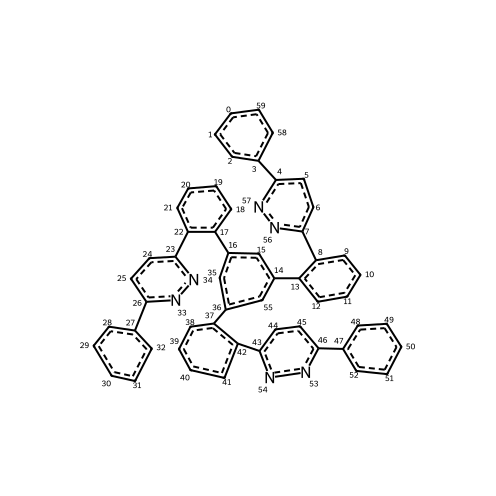 c1ccc(-c2ccc(-c3ccccc3-c3cc(-c4ccccc4-c4ccc(-c5ccccc5)nn4)cc(-c4ccccc4-c4ccc(-c5ccccc5)nn4)c3)nn2)cc1